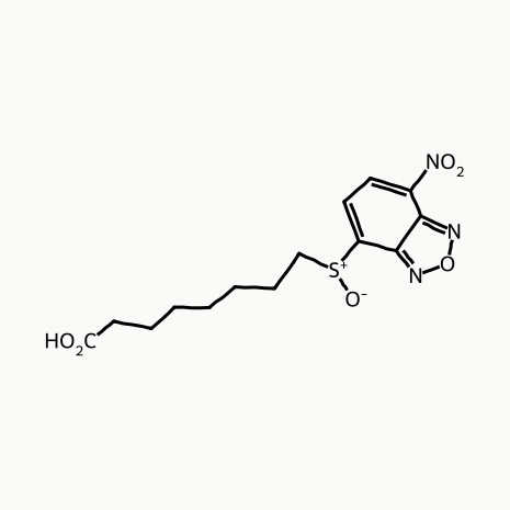 O=C(O)CCCCCCC[S+]([O-])c1ccc([N+](=O)[O-])c2nonc12